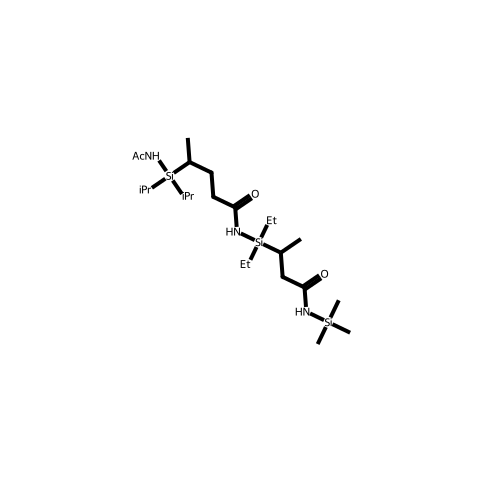 CC[Si](CC)(NC(=O)CCC(C)[Si](NC(C)=O)(C(C)C)C(C)C)C(C)CC(=O)N[Si](C)(C)C